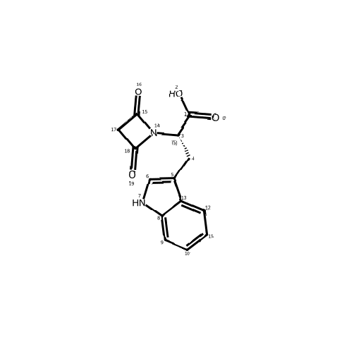 O=C(O)[C@H](Cc1c[nH]c2ccccc12)N1C(=O)CC1=O